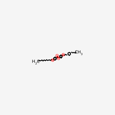 C=CCCCCCCCCCCOc1ccc(C(=O)Oc2ccc(OCCC[C@H]3CC[C@H](CCCCC)CC3)cc2)cc1